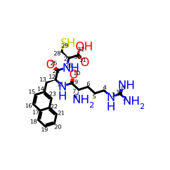 N=C(N)NCCC[C@H](N)C(=O)N[C@@H](Cc1ccc2ccccc2c1)C(=O)N[C@@H](CS)C(=O)O